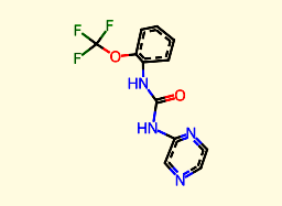 O=C(Nc1cnccn1)Nc1ccccc1OC(F)(F)F